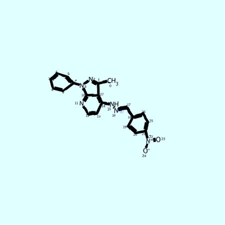 Cc1nn(-c2ccccc2)c2nccc(N/N=C/c3ccc([N+](=O)[O-])cc3)c12